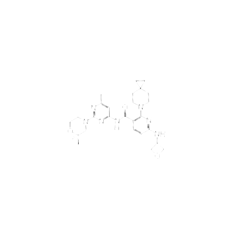 Cc1cc(NC(=O)c2ccc(NC3COC3)nc2N2CCC3(CC2)CC3)nc(N2CCO[C@H](C)C2)n1